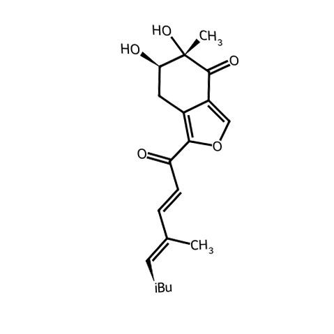 CC[C@H](C)/C=C(C)/C=C/C(=O)c1occ2c1C[C@@H](O)[C@](C)(O)C2=O